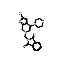 O=C1c2ccccc2C(=O)N1CN1C=C(N2CCOCC2)c2cc(Cl)sc2C1